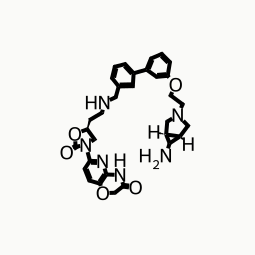 NC1[C@H]2CN(CCOc3cccc(-c4cccc(CNCC[C@H]5CN(c6ccc7c(n6)NC(=O)CO7)C(=O)O5)c4)c3)C[C@@H]12